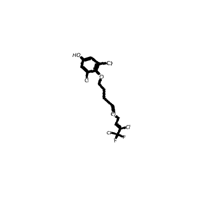 Oc1cc(Cl)c(OCCCCOCC=C(Cl)C(F)(F)Cl)c(Cl)c1